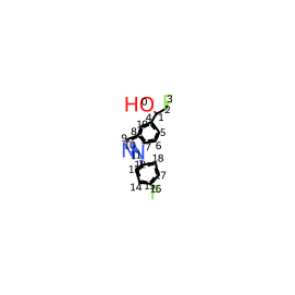 OC(CF)c1ccc2c(cnn2-c2ccc(F)cc2)c1